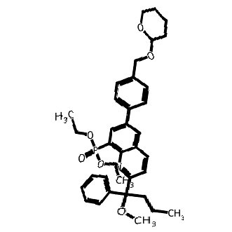 CCCC(OC)(c1ccccc1)c1ccc2cc(-c3ccc(COC4CCCCO4)cc3)cc(P(=O)(OCC)OCC)c2n1